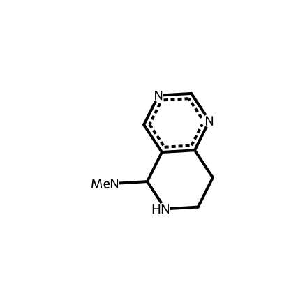 CNC1NCCc2ncncc21